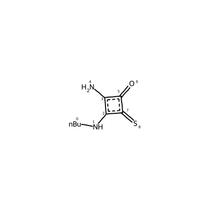 CCCCNc1c(N)c(=O)c1=S